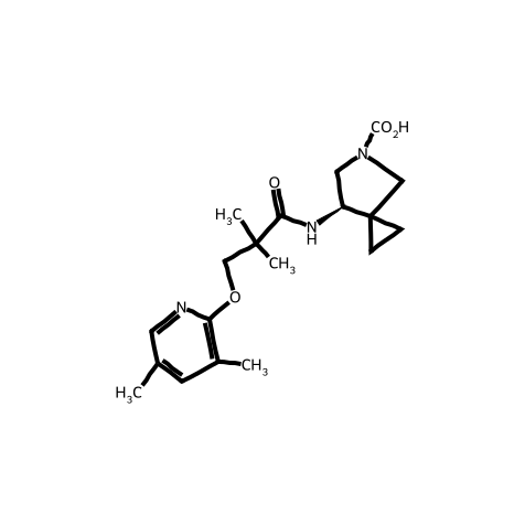 Cc1cnc(OCC(C)(C)C(=O)N[C@H]2CN(C(=O)O)CC23CC3)c(C)c1